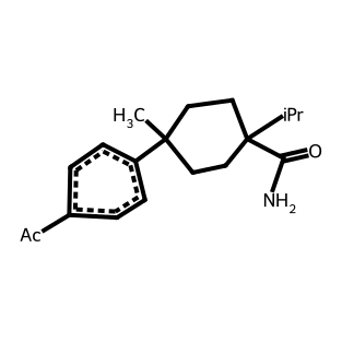 CC(=O)c1ccc(C2(C)CCC(C(N)=O)(C(C)C)CC2)cc1